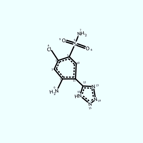 Nc1cc(Cl)c(S(N)(=O)=O)cc1-c1nnn[nH]1